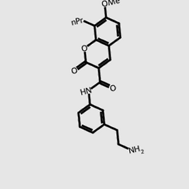 CCCc1c(OC)ccc2cc(C(=O)Nc3cccc(CCN)c3)c(=O)oc12